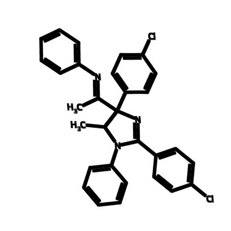 C/C(=N\c1ccccc1)C1(c2ccc(Cl)cc2)N=C(c2ccc(Cl)cc2)N(c2ccccc2)C1C